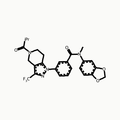 CC(C)C(=O)N1CCc2c(c(C(F)(F)F)nn2-c2cccc(C(=O)N(C)c3ccc4c(c3)OCO4)c2)C1